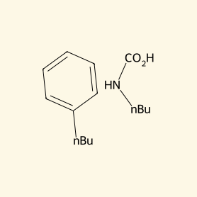 CCCCNC(=O)O.CCCCc1ccccc1